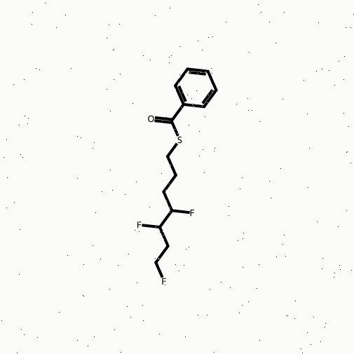 O=C(SCCCC(F)C(F)CCF)c1ccccc1